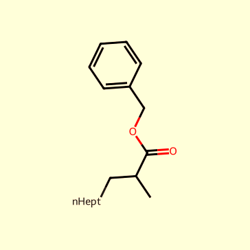 CCCCCCCCC(C)C(=O)OCc1ccccc1